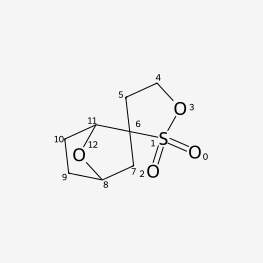 O=S1(=O)OCCC12CC1CCC2O1